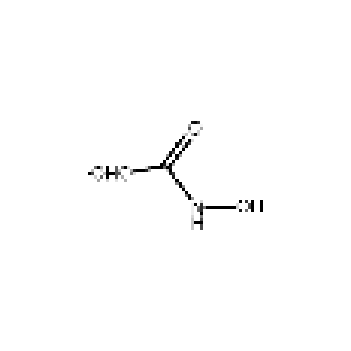 O=[C]C(=O)NO